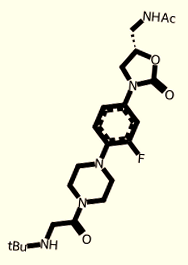 CC(=O)NC[C@H]1CN(c2ccc(N3CCN(C(=O)CNC(C)(C)C)CC3)c(F)c2)C(=O)O1